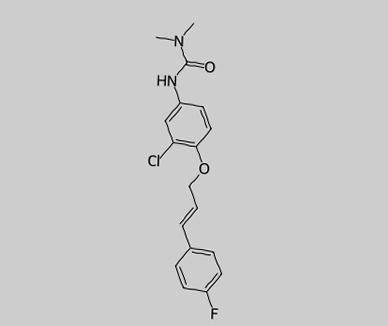 CN(C)C(=O)Nc1ccc(OCC=Cc2ccc(F)cc2)c(Cl)c1